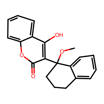 COC1(c2c(O)c3ccccc3oc2=O)CCCc2ccccc21